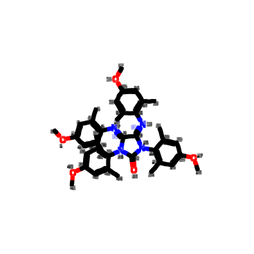 COc1cc(C)c(/N=C2/C(=N\c3c(C)cc(OC)cc3C)N(c3c(C)cc(OC)cc3C)C(=O)N2c2c(C)cc(OC)cc2C)c(C)c1